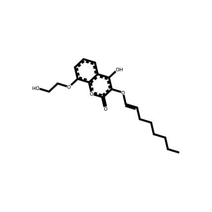 CCCCCCC=COc1c(O)c2cccc(OCCO)c2oc1=O